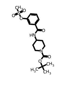 CC(C)(C)OC(=O)N1CCC(NC(=O)c2cccc(OS(C)(=O)=O)c2)CC1